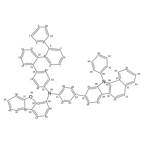 c1ccc(-c2ccccc2-c2ccccc2-c2ccc(N(c3ccc(-c4ccc5c6ccc7ccccc7c6n(-c6ccccc6)c5c4)cc3)c3cccc4c3oc3ccccc34)cc2)cc1